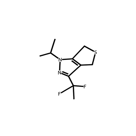 CC(C)n1nc(C(C)(F)F)c2c1CSC2